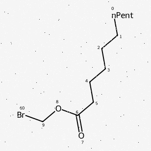 CCCCCCCCCCC(=O)OCBr